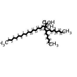 CCCCCCCCCCCCCCCCC(C)(CC(CCCCCC)CCCCCCC)C(=O)O